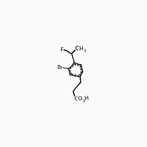 CC(F)c1ccc(CCC(=O)O)cc1Br